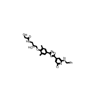 Cc1cc(-c2noc(-c3cc(Cl)nc(NCC(C)C)c3)n2)cc(C)c1OC[C@H](O)CNC(=O)CO